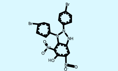 O=[N+]([O-])c1cc2c(c([N+](=O)[O-])c1O)N(c1ccc(Br)cc1)N(c1ccc(Br)cc1)N2